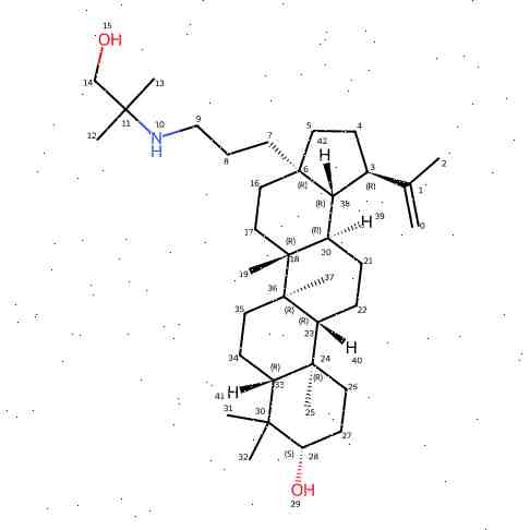 C=C(C)[C@@H]1CC[C@]2(CCCNC(C)(C)CO)CC[C@]3(C)[C@H](CC[C@@H]4[C@@]5(C)CC[C@H](O)C(C)(C)[C@@H]5CC[C@]43C)[C@@H]12